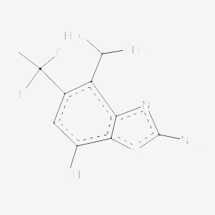 Cc1cc(C(F)(F)F)c(C(C)C)c2nc(N)sc12